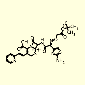 CC(C)(C)OC(=O)CON=C(C(=O)NC1C(=O)N2C(C(=O)O)=C(C=Cc3ccccn3)CS[C@@H]12)c1csc(N)n1